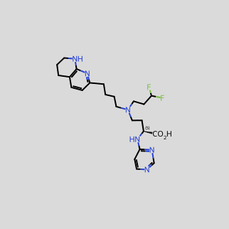 O=C(O)[C@H](CCN(CCCCc1ccc2c(n1)NCCC2)CCC(F)F)Nc1ccncn1